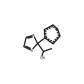 CC(C#N)C1(c2ccccc2)N=CC=N1